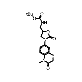 CN1C(=O)CSc2cc(N3CC(CNC(=O)OC(C)(C)C)OC3=O)ccc21